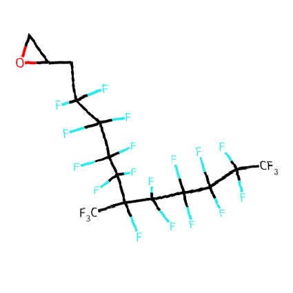 FC(F)(F)C(F)(F)C(F)(F)C(F)(F)C(F)(F)C(F)(C(F)(F)F)C(F)(F)C(F)(F)C(F)(F)C(F)(F)CC1CO1